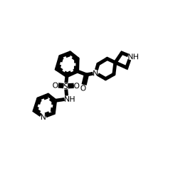 O=C(c1ccccc1S(=O)(=O)Nc1cccnc1)N1CCC2(CC1)CNC2